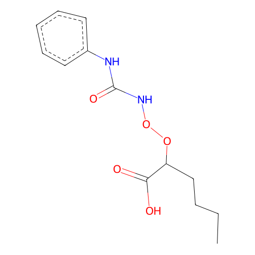 CCCCC(OONC(=O)Nc1ccccc1)C(=O)O